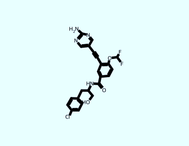 Nc1ncc(C#Cc2cc(C(=O)NC(CO)Cc3ccc(Cl)cc3)ccc2OC(F)F)cn1